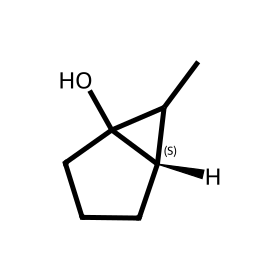 CC1[C@@H]2CCCC12O